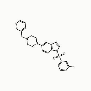 O=S(=O)(c1cccc(F)c1)n1ccc2cc(N3CCN(Cc4ccccc4)CC3)ccc21